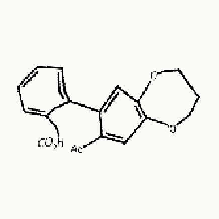 CC(=O)c1cc2c(cc1-c1ccccc1C(=O)O)OCCCO2